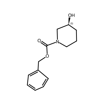 O=C(OCc1ccccc1)N1CCC[C@H](O)C1